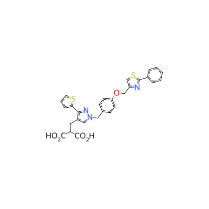 O=C(O)C(Cc1cn(Cc2ccc(OCc3csc(-c4ccccc4)n3)cc2)nc1-c1cccs1)C(=O)O